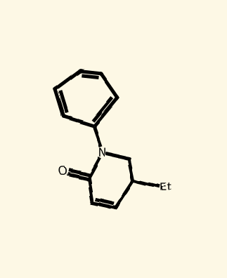 CCC1C=CC(=O)N(c2ccccc2)C1